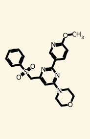 COc1ccc(-c2nc(CS(=O)(=O)c3ccccc3)cc(N3CCOCC3)n2)cn1